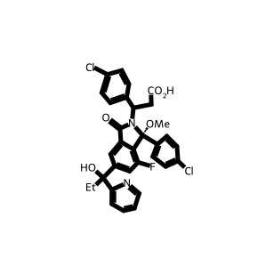 CCC(O)(c1cc(F)c2c(c1)C(=O)N(C(CC(=O)O)c1ccc(Cl)cc1)[C@@]2(OC)c1ccc(Cl)cc1)c1ccccn1